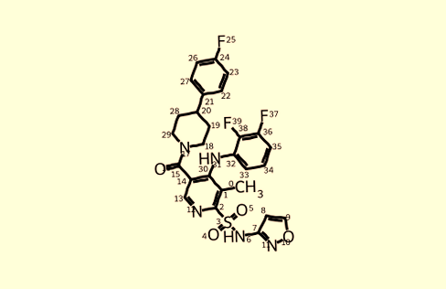 Cc1c(S(=O)(=O)Nc2ccon2)ncc(C(=O)N2CCC(c3ccc(F)cc3)CC2)c1Nc1cccc(F)c1F